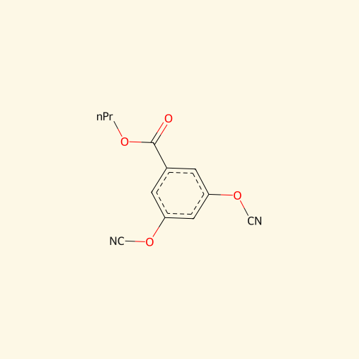 CCCOC(=O)c1cc(OC#N)cc(OC#N)c1